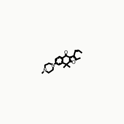 C/C=C\c1c(C)oc2c1C(=O)c1ccc(N3CCN(C)CC3)cc1C2(C)C